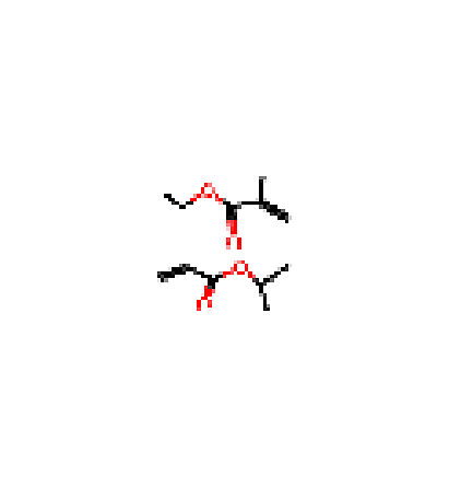 C=C(C)C(=O)OCC.C=CC(=O)OC(C)C